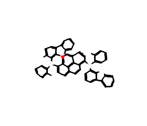 Cc1ccccc1N(c1ccc2ccc3c(N(c4ccccc4C)c4c(C)ccc5c4oc4ccccc45)ccc4ccc1c2c43)c1cccc2c1oc1ccccc12